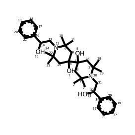 CC1(C)CC(O)(C2(O)CC(C)(C)N(CC(O)c3ccccc3)C(C)(C)C2)CC(C)(C)N1CC(O)c1ccccc1